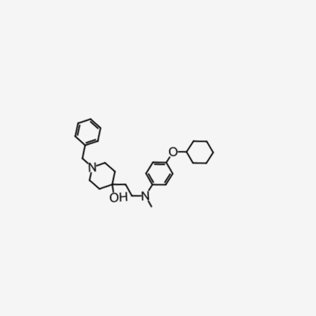 CN(CCC1(O)CCN(Cc2ccccc2)CC1)c1ccc(OC2CCCCC2)cc1